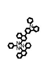 C1=CC(c2ccc3ccccc3c2-c2nc(-c3ccccc3)nc(-c3ccc(-c4ccc5c(c4)c4ccccc4n5-c4ccccc4)c4ccccc34)n2)=CCC1